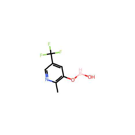 Cc1ncc(C(F)(F)F)cc1OBO